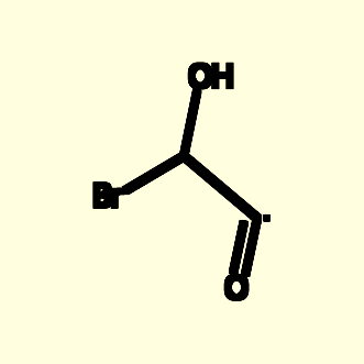 O=[C]C(O)Br